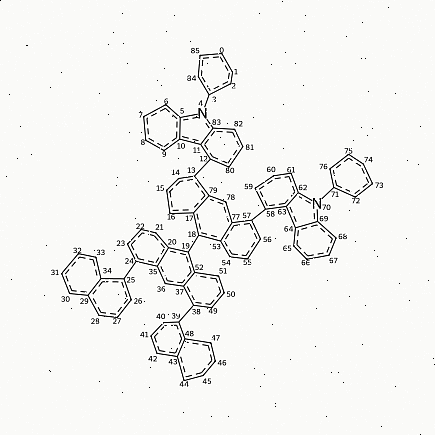 c1ccc(-n2c3ccccc3c3c(-c4cccc5c(-c6c7cccc(-c8cccc9ccccc89)c7cc7c(-c8cccc9ccccc89)cccc67)c6cccc(-c7cccc8c7c7ccccc7n8-c7ccccc7)c6cc45)cccc32)cc1